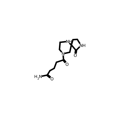 NC(=O)CCCC(=O)N1CCNC2(CCNC2=O)C1